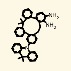 CC1(C)c2ccccc2-c2cc(N3c4ccccc4C(C)(C)c4ccccc43)ccc2CCc2c(ccc(N)c2N)-c2ccccc21